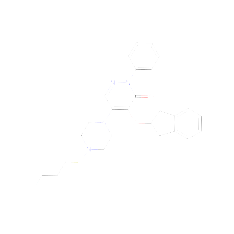 O=c1c(OC2Cc3ccccc3C2)c(N2CCN(SCCCF)CC2)cnn1-c1ccccc1